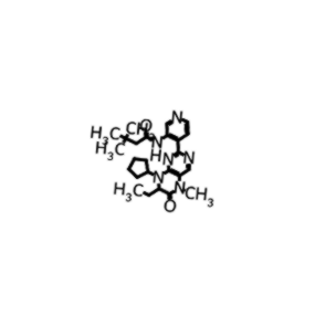 CCC1C(=O)N(C)c2cnc(-c3ccncc3NC(=O)CC(C)(C)C)nc2N1C1CCCC1